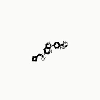 [O-][S+](CC1CCC1)c1cnc2c(cnn2-c2ccc(-c3nnc[nH]3)cc2)c1